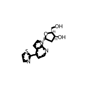 OC[C@H]1O[C@@H](n2ccc3c(-c4nccs4)ccnc32)C[C@@H]1O